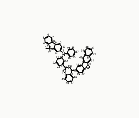 CC1(C)c2ccccc2-c2ccc(N(c3ccccc3)c3cccc(-c4nc(-c5ccc6oc7cc8ccccc8cc7c6c5)c5ccccc5n4)c3)cc21